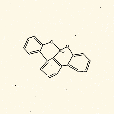 O=P12Oc3ccccc3-c3cccc(c31)-c1ccccc1O2